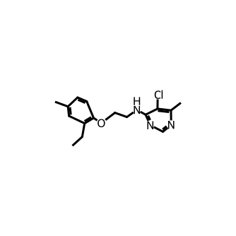 CCc1cc(C)ccc1OCCNc1ncnc(C)c1Cl